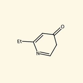 [CH2]CC1=CC(=O)CC=N1